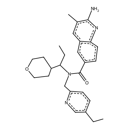 CCc1ccc(CN(C(=O)c2ccc3nc(N)c(C)cc3c2)C(CC)C2CCOCC2)nc1